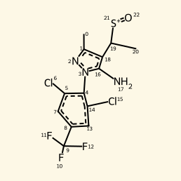 Cc1nn(-c2c(Cl)cc(C(F)(F)F)cc2Cl)c(N)c1C(C)[S+]=O